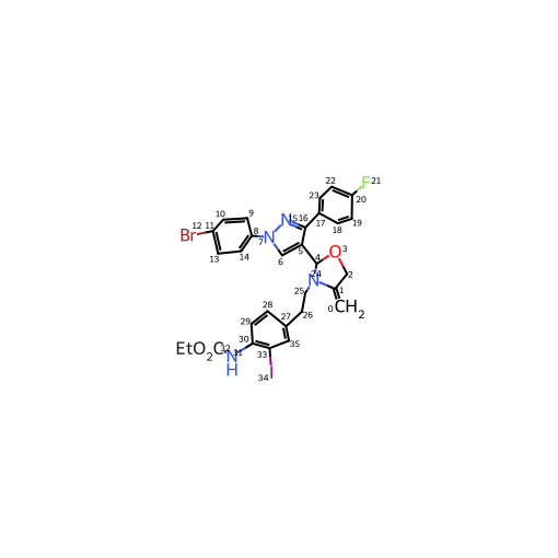 C=C1COC(c2cn(-c3ccc(Br)cc3)nc2-c2ccc(F)cc2)N1CCc1ccc(NC(=O)OCC)c(I)c1